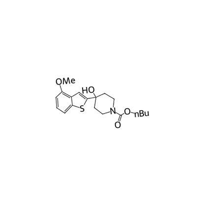 CCCCOC(=O)N1CCC(O)(c2cc3c(OC)cccc3s2)CC1